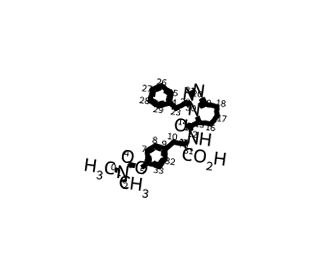 CN(C)C(=O)Oc1ccc(C[C@H](NC(=O)C2CCCc3nnc(Cc4ccccc4)n32)C(=O)O)cc1